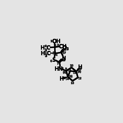 CC(C)(O)[C@]1(C)SC(N[C@H]2C[C@@H]3CC[C@H]2C3)=NC1=O